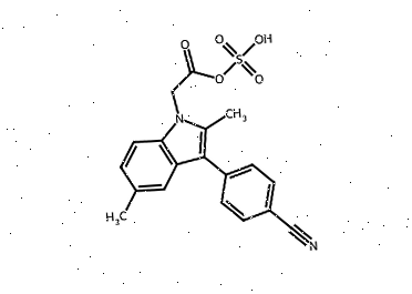 Cc1ccc2c(c1)c(-c1ccc(C#N)cc1)c(C)n2CC(=O)OS(=O)(=O)O